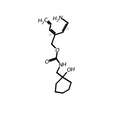 C=C/C=C(\C=C/N)COC(=O)NCC1(O)CCCCC1